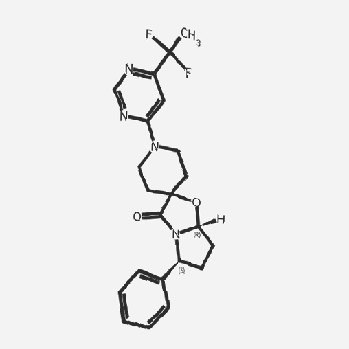 CC(F)(F)c1cc(N2CCC3(CC2)O[C@@H]2CC[C@@H](c4ccccc4)N2C3=O)ncn1